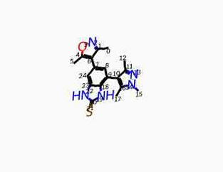 Cc1noc(C)c1-c1cc(-c2c(C)nn(C)c2C)c2[nH]c(=S)[nH]c2c1